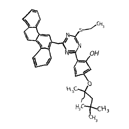 CCSc1nc(-c2ccc(OC(C)(I)CC(C)(C)C)cc2O)nc(-c2cc3c4ccccc4ccc3c3ccccc23)n1